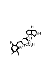 CC(C)(C)N(C(=O)O)[C@@H](CC(=O)N1CC[C@H]2CNC[C@H]21)Cc1cc(F)c(F)cc1F